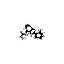 CNC(=O)Nc1nccc2nc(-c3c(Cl)cccc3Cl)[nH]c12